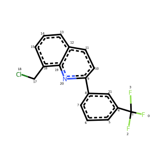 FC(F)(F)c1cccc(-c2ccc3cccc(CCl)c3n2)c1